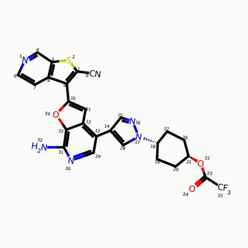 N#Cc1sc2cnccc2c1-c1cc2c(-c3cnn([C@H]4CC[C@H](OC(=O)C(F)(F)F)CC4)c3)cnc(N)c2o1